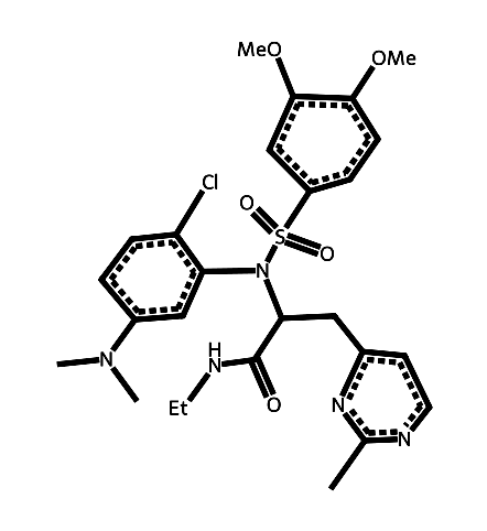 CCNC(=O)C(Cc1ccnc(C)n1)N(c1cc(N(C)C)ccc1Cl)S(=O)(=O)c1ccc(OC)c(OC)c1